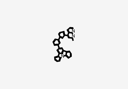 Cc1cc(-c2cccc(-c3cccc(-c4cc5c6ccccc6n6c7ccccc7c(c4)c56)c3)c2)c2cccnc2n1